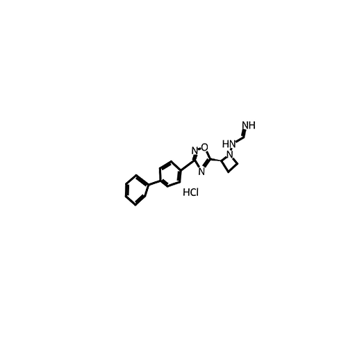 Cl.N=CNN1CC[C@H]1c1nc(-c2ccc(-c3ccccc3)cc2)no1